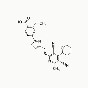 CCc1cc(-c2nc(CSc3nc(C)c(C#N)c(C4CCCCO4)c3C#N)cs2)ccc1C(=O)O